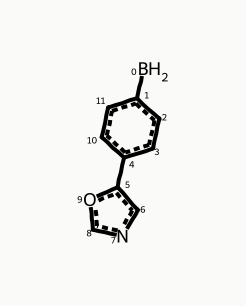 Bc1ccc(-c2cnco2)cc1